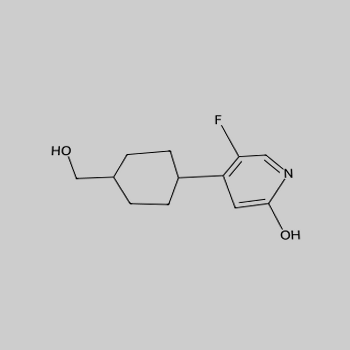 OCC1CCC(c2cc(O)ncc2F)CC1